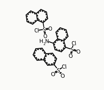 Nc1ccc(S(=O)(=O)Cl)c2ccccc12.O=S(=O)(Cl)c1ccc2ccccc2c1.O=S(=O)(Cl)c1cccc2ccccc12